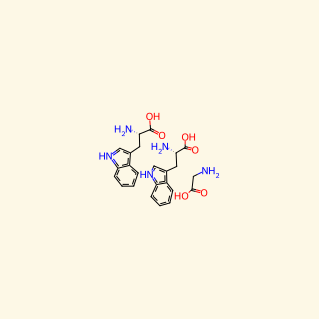 NCC(=O)O.N[C@@H](Cc1c[nH]c2ccccc12)C(=O)O.N[C@@H](Cc1c[nH]c2ccccc12)C(=O)O